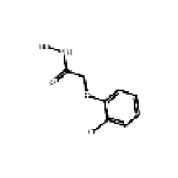 CCC(C)NC(=O)COc1ccccc1Cl